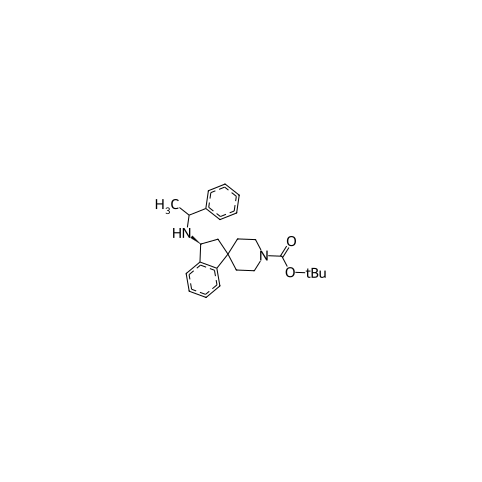 CC(N[C@H]1CC2(CCN(C(=O)OC(C)(C)C)CC2)c2ccccc21)c1ccccc1